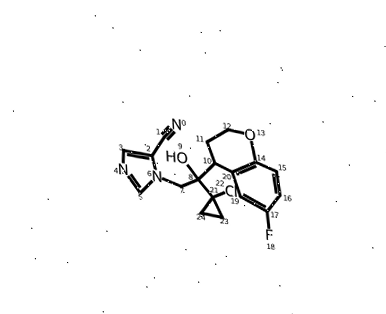 N#Cc1cncn1CC(O)(C1CCOc2ccc(F)cc21)C1(Cl)CC1